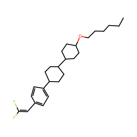 CCCCCCOC1CCC(C2CCC(c3ccc(C=C(F)F)cc3)CC2)CC1